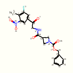 Cc1c(F)cc(C(=O)CNC(=O)C2CN(C(=O)OCc3ccccc3)C2)cc1[N+](=O)[O-]